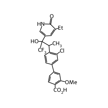 CCc1cc(C(O)(C(C)c2ccc(-c3ccc(C(=O)O)c(OC)c3)cc2Cl)C(F)(F)F)c[nH]c1=O